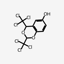 Oc1ccc2c(c1)C(C(Cl)(Cl)Cl)OC(C(Cl)(Cl)Cl)O2